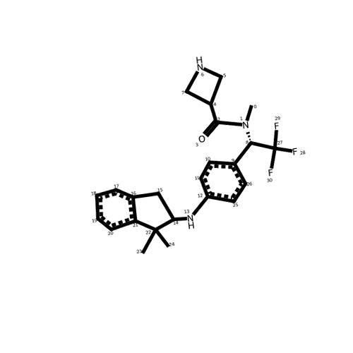 CN(C(=O)C1CNC1)[C@@H](c1ccc(NC2Cc3ccccc3C2(C)C)cc1)C(F)(F)F